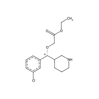 CCOC(=O)CO[C@@H](c1cccc(Cl)c1)C1CCCNC1